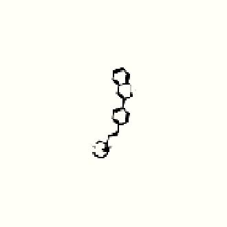 OC1(C=Cc2ccc(-c3cnc4ccccc4c3)cc2)CN2CCC1CC2